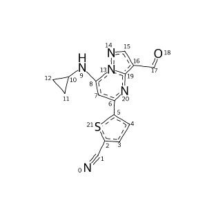 N#Cc1ccc(-c2cc(NC3CC3)n3ncc(C=O)c3n2)s1